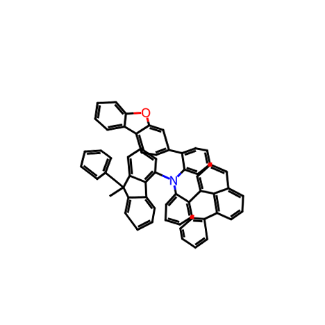 CC1(c2ccccc2)c2ccccc2-c2c(N(c3ccccc3-c3ccc4c(c3)oc3ccccc34)c3ccccc3-c3cccc4cccc(-c5ccccc5)c34)cccc21